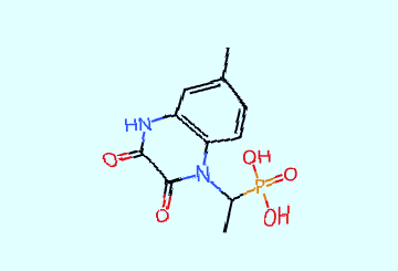 Cc1ccc2c(c1)[nH]c(=O)c(=O)n2C(C)P(=O)(O)O